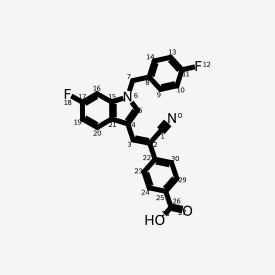 N#C/C(=C\c1cn(Cc2ccc(F)cc2)c2cc(F)ccc12)c1ccc(C(=O)O)cc1